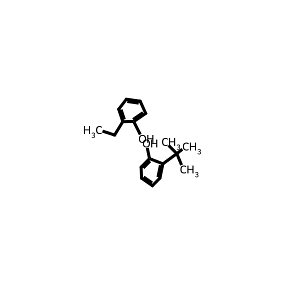 CC(C)(C)c1ccccc1O.CCc1ccccc1O